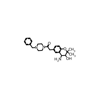 CC1(C)Oc2ccc(CC(=O)N3CCN(Cc4ccccc4)CC3)cc2C(N)C1O